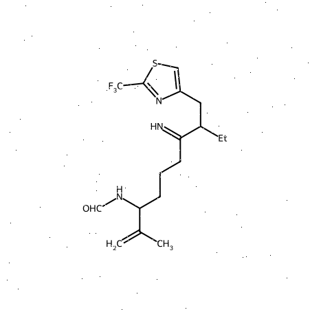 C=C(C)C(CCCC(=N)C(CC)Cc1csc(C(F)(F)F)n1)NC=O